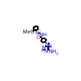 COc1cccc2sc(NC(=O)C3CCC(n4cnc5c(N)nc(I)nc54)CC3)nc12